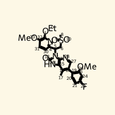 CCOc1nc(C(CS(C)(=O)=O)n2c(=O)[nH]c3c(C)c(-c4ccc(F)cc4OC)cnc32)ccc1OC